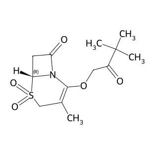 CC1=C(OCC(=O)C(C)(C)C)N2C(=O)C[C@H]2S(=O)(=O)C1